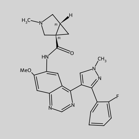 COc1cc2ncnc(-c3cn(C)nc3-c3ccccc3F)c2cc1NC(=O)[C@]12C[C@H]1CN(C)C2